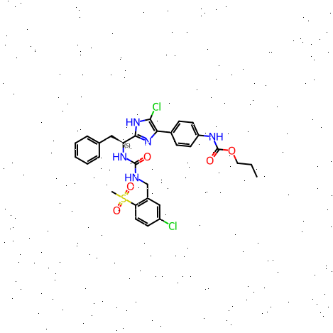 CCCOC(=O)Nc1ccc(-c2nc([C@H](Cc3ccccc3)NC(=O)NCc3cc(Cl)ccc3S(C)(=O)=O)[nH]c2Cl)cc1